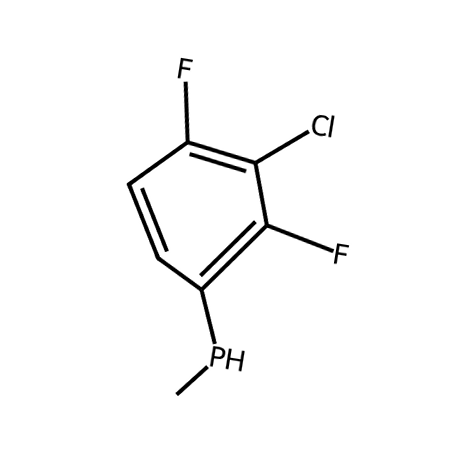 CPc1ccc(F)c(Cl)c1F